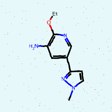 CCOc1ncc(-c2ccn(C)n2)cc1N